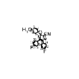 CN1CCC(Oc2nc(-c3ccc(F)cc3)c(-c3ccc(F)cc3)nc2C#N)CC1